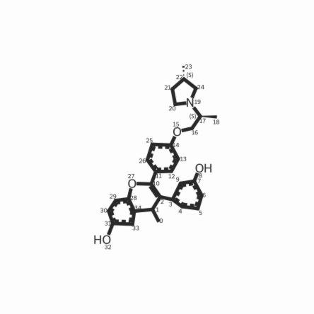 CC1C(c2cccc(O)c2)=C(c2ccc(OC[C@H](C)N3CC[C@H](C)C3)cc2)Oc2ccc(O)cc21